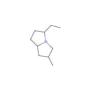 CCC1CCC2CC(C)CN12